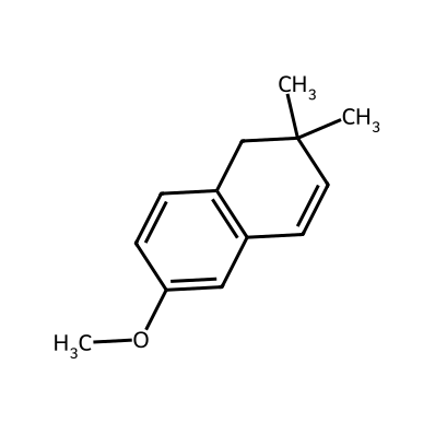 COc1ccc2c(c1)C=CC(C)(C)C2